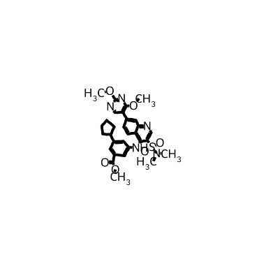 COC(=O)c1cc(Nc2c(S(=O)(=O)N(C)C)cnc3cc(-c4cnc(OC)nc4OC)ccc23)cc(C2CCCC2)c1